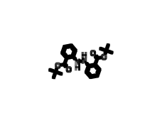 CC(C)(C)OC(=O)c1ccccc1NNc1ccccc1C(=O)OC(C)(C)C